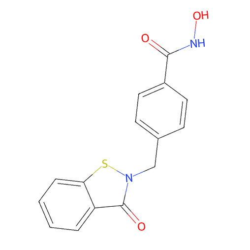 O=C(NO)c1ccc(Cn2sc3ccccc3c2=O)cc1